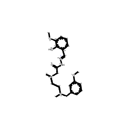 COc1cccc(CN(C)CCN(C)CC(=O)N/N=C/c2cccc(OC)c2O)c1